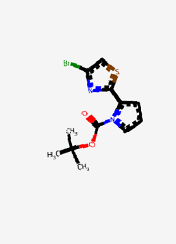 CC(C)(C)OC(=O)n1cccc1-c1nc(Br)cs1